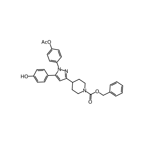 CC(=O)Oc1ccc(-n2nc(C3CCN(C(=O)OCc4ccccc4)CC3)cc2-c2ccc(O)cc2)cc1